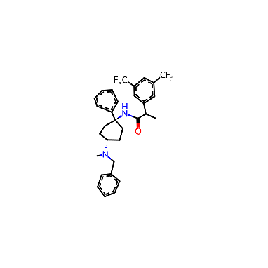 CC(C(=O)N[C@]1(c2ccccc2)CC[C@@H](N(C)Cc2ccccc2)CC1)c1cc(C(F)(F)F)cc(C(F)(F)F)c1